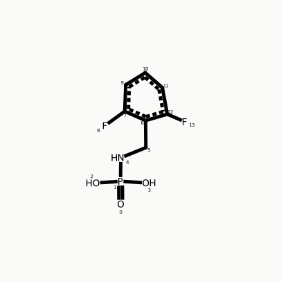 O=P(O)(O)NCc1c(F)cccc1F